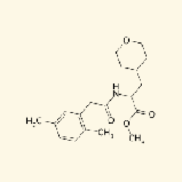 COC(=O)C(CC1CCOCC1)NC(=O)Cc1cc(C)ccc1C